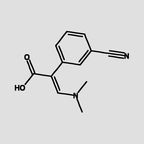 CN(C)/C=C(/C(=O)O)c1cccc(C#N)c1